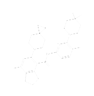 O=C(Nc1ccc(F)c(N2CCC(F)(F)CC2)n1)c1c(N2CCC3(CC2)CC3)cc(Br)c2c1CCC2